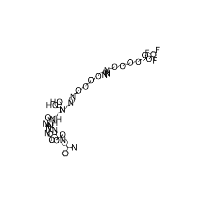 COc1cnc(-n2cnc(C(=O)NCCCCN(CCCN3CCN(CCOCCOCCOCCOCc4cn(CCOCCOCCOCCOCCC(=O)Oc5c(F)cc(F)cc5F)nn4)CC3)C(CO)CO)n2)c2[nH]cc(C(=O)C(=O)N3CCC(=C(C#N)c4ccccc4)CC3)c12